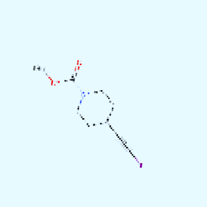 CC(C)(C)OC(=O)N1CCC(C#CI)CC1